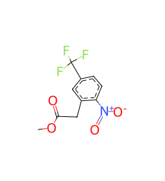 COC(=O)Cc1cc(C(F)(F)F)ccc1[N+](=O)[O-]